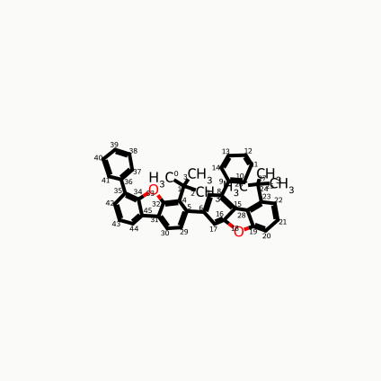 CC(C)(C)c1c(-c2cc(-c3ccccc3)c3c(c2)oc2cccc(C(C)(C)C)c23)ccc2c1oc1c(-c3ccccc3)cccc12